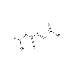 CC(O)OC(=O)/C=C/C(=O)O